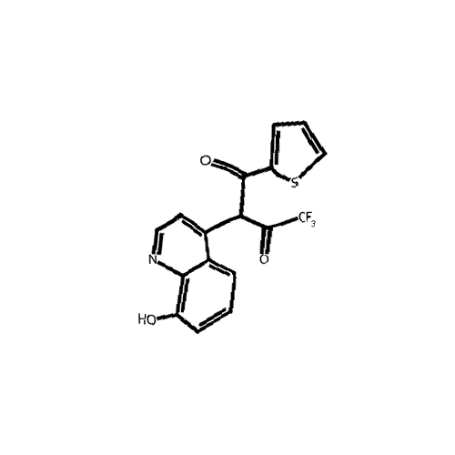 O=C(c1cccs1)C(C(=O)C(F)(F)F)c1ccnc2c(O)cccc12